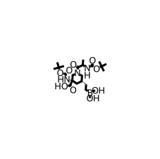 CC(NC(=O)OC(C)(C)C)C(=O)N1C[C@H](CCB(O)O)C[C@@](NC(=O)OC(C)(C)C)(C(=O)O)C1